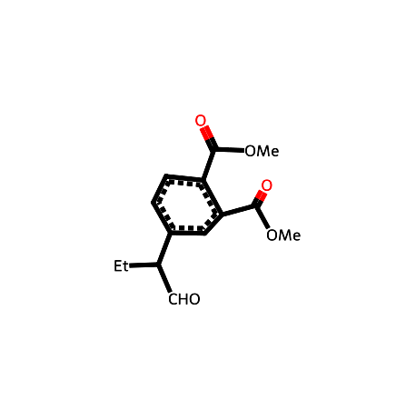 CCC(C=O)c1ccc(C(=O)OC)c(C(=O)OC)c1